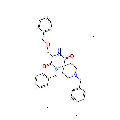 O=C1C(COCc2ccccc2)NC(=O)C2(CCN(Cc3ccccc3)CC2)N1Cc1ccccc1